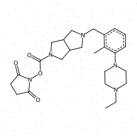 CCN1CCN(c2cccc(CN3CC4CN(C(=O)ON5C(=O)CCC5=O)CC4C3)c2C)CC1